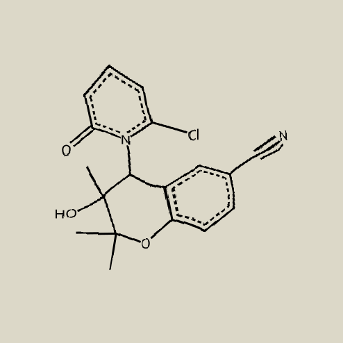 CC1(C)Oc2ccc(C#N)cc2C(n2c(Cl)cccc2=O)C1(C)O